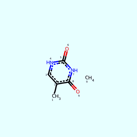 C.Cc1c[nH]c(=O)[nH]c1=O